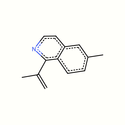 C=C(C)c1nccc2cc(C)ccc12